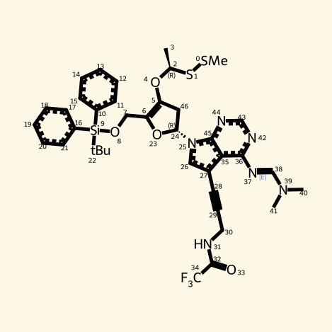 CSS[C@H](C)OC1=C(CO[Si](c2ccccc2)(c2ccccc2)C(C)(C)C)O[C@@H](n2cc(C#CCNC(=O)C(F)(F)F)c3c(/N=C/N(C)C)ncnc32)C1